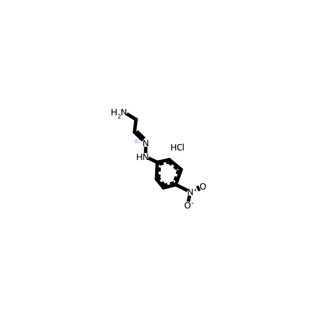 Cl.NC/C=N/Nc1ccc([N+](=O)[O-])cc1